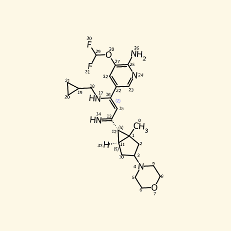 CC12CC(N3CCOCC3)C[C@H]1[C@@H]2C(=N)/C=C(\NCC1CC1)c1cnc(N)c(OC(F)F)c1